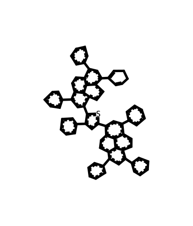 C1=CC(c2cc(-c3ccccc3)c3ccc4c(-c5ccccc5)cc(-c5sc(-c6cc(-c7ccccc7)c7ccc8c(-c9ccccc9)cc(-c9ccccc9)c9ccc6c7c89)cc5-c5ccccc5)c5ccc2c3c45)=CCC1